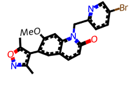 COc1cc2c(ccc(=O)n2Cc2ccc(Br)cn2)cc1-c1c(C)noc1C